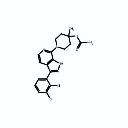 CC1(OC(N)=O)CCN(c2nccc3c(-c4cccc(Cl)c4Cl)n[nH]c23)CC1